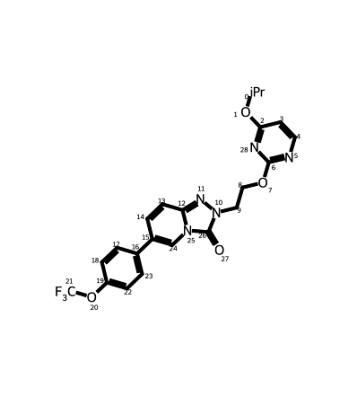 CC(C)Oc1ccnc(OCCn2nc3ccc(-c4ccc(OC(F)(F)F)cc4)cn3c2=O)n1